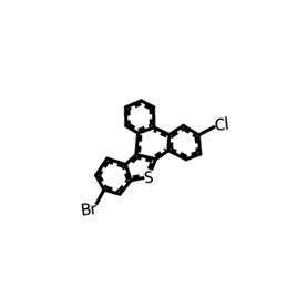 Clc1ccc2c(c1)c1ccccc1c1c3ccc(Br)cc3sc21